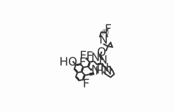 C#Cc1c(F)ccc2cc(O)cc(-c3cnc4c(N5CC6CCC(C5)N6)nc(OCC5(CN6CC[C@@H](F)C6)CC5)nc4c3C(F)(F)F)c12